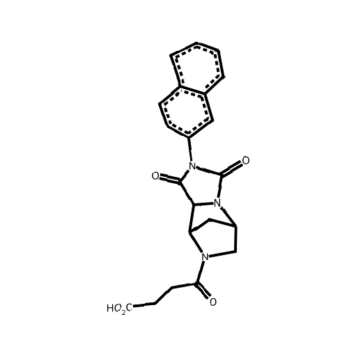 O=C(O)CCC(=O)N1CC2CC1C1C(=O)N(c3ccc4ccccc4c3)C(=O)N21